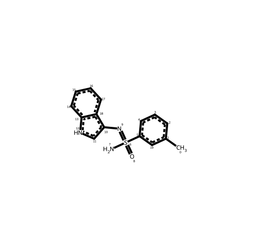 Cc1cccc(S(N)(=O)=Nc2c[nH]c3ccccc23)c1